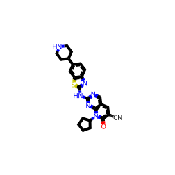 N#Cc1cc2cnc(Nc3nc4ccc(C5CCNCC5)cc4s3)nc2n(C2CCCC2)c1=O